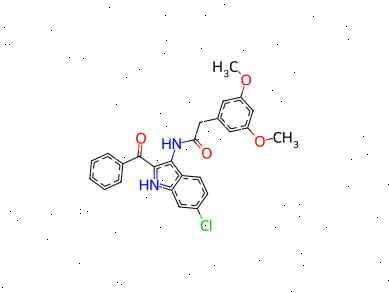 COc1cc(CC(=O)Nc2c(C(=O)c3ccccc3)[nH]c3cc(Cl)ccc23)cc(OC)c1